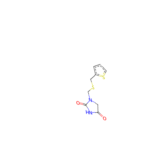 O=C1CN(CSCc2cccs2)C(=O)N1